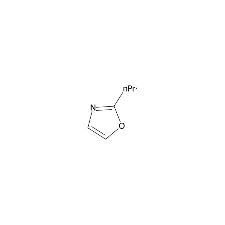 CC[CH]c1ncco1